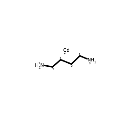 NCCCCN.[Gd]